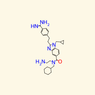 N=C(N)c1ccc(CCc2nc3cc(C(=O)N(CCN)CC4CCCCC4)ccc3n2CC2CC2)cc1